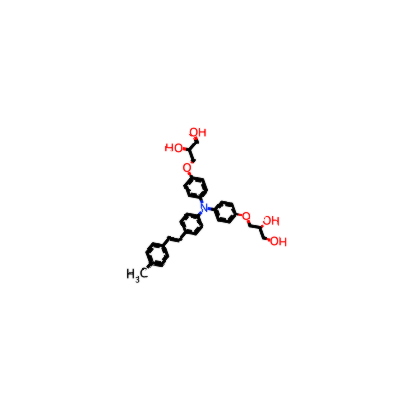 Cc1ccc(C=Cc2ccc(N(c3ccc(OCC(O)CO)cc3)c3ccc(OCC(O)CO)cc3)cc2)cc1